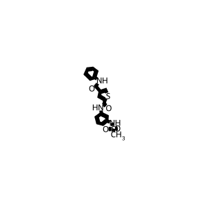 CS(=O)(=O)Nc1cccc(NC(=O)c2cc(C(=O)Nc3ccccc3)cs2)c1